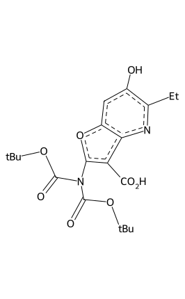 CCc1nc2c(C(=O)O)c(N(C(=O)OC(C)(C)C)C(=O)OC(C)(C)C)oc2cc1O